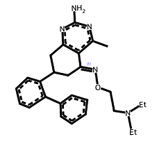 CCN(CC)CCO/N=C1\CC(c2ccccc2-c2ccccc2)Cc2nc(N)nc(C)c21